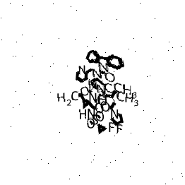 C=CC1CC1(NC(=O)[C@@H]1C[C@@H](N(Cc2ccccn2)C(=O)n2c3ccccc3c3ccccc32)CN1C(=O)[C@@H](CC(=O)N1CCC(F)(F)C1)C(C)(C)C)C(=O)NS(=O)(=O)C1CC1